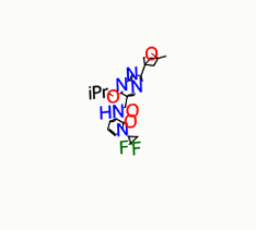 CC(C)Oc1nc2nc(C34COC(C)(C3)C4)cn2cc1C(=O)Nc1cccn([C@H]2CC2(F)F)c1=O